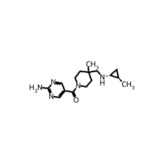 C[C@@H]1C[C@H]1NCC1(C)CCN(C(=O)c2cnc(N)nc2)CC1